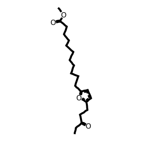 CCC(=O)CCc1ccc(CCCCCCCCCCC(=O)OC)o1